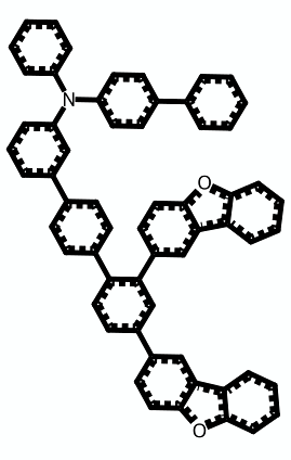 c1ccc(-c2ccc(N(c3ccccc3)c3cccc(-c4ccc(-c5ccc(-c6ccc7oc8ccccc8c7c6)cc5-c5ccc6oc7ccccc7c6c5)cc4)c3)cc2)cc1